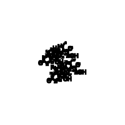 C[C@@H]1C[C@H]2[C@@H]3CCC4=CC(=O)C=C[C@]4(C)[C@@]3(F)[C@@H](O)C[C@]2(C)[C@H]1C(=O)CO.C[C@@H]1C[C@H]2[C@@H]3C[C@H](F)C4=CC(=O)C=C[C@]4(C)[C@@]3(F)[C@@H](O)C[C@]2(C)[C@H]1C(=O)CO